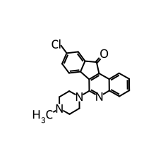 CN1CCN(c2nc3ccccc3c3c2-c2ccc(Cl)cc2C3=O)CC1